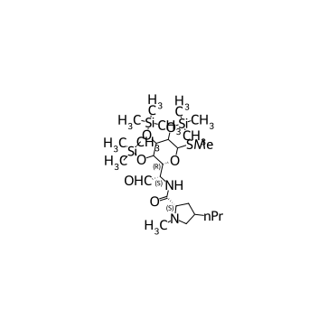 CCCC1C[C@@H](C(=O)N[C@H](C=O)[C@H]2OC(SC)C(O[Si](C)(C)C)C(O[Si](C)(C)C)C2O[Si](C)(C)C)N(C)C1